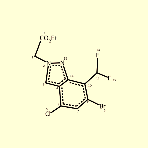 CCOC(=O)Cn1cc2c(Cl)cc(Br)c(C(F)F)c2n1